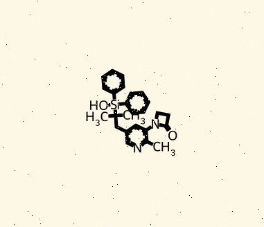 Cc1ncc(CC(C)(C)[Si](O)(c2ccccc2)c2ccccc2)cc1N1CCC1=O